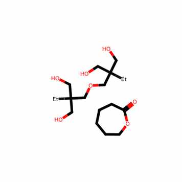 CCC(CO)(CO)COCC(CC)(CO)CO.O=C1CCCCCO1